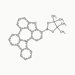 CC1(C)OB(c2ccc3c4c2oc2cccc(c5cccc6c7ccccc7n3c56)c24)OC1(C)C